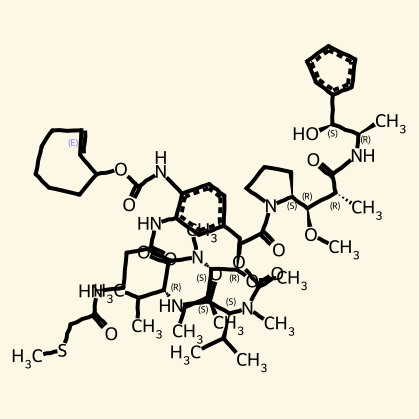 CC[C@H](C)[C@@H]([C@@H](CC(=O)N1CCC[C@H]1[C@H](OC)[C@@H](C)C(=O)N[C@H](C)[C@@H](O)c1ccccc1)OC)N(C)C(=O)[C@H](NC(=O)[C@H](C(C)C)N(C)C(=O)OCc1ccc(NC(=O)OC2/C=C/CCCCC2)c(NC(=O)CCNC(=O)CSC)c1)C(C)C